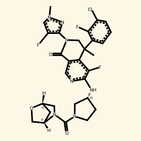 Cn1cc(F)c(N2CC(C)(c3cccc(Cl)c3F)c3c(cnc(N[C@@H]4CCN(C(=O)N5C[C@@H]6C[C@H]5CO6)C4)c3F)C2=O)n1